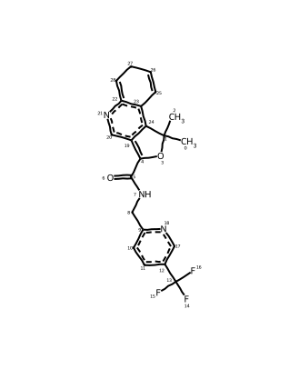 CC1(C)OC(C(=O)NCc2ccc(C(F)(F)F)cn2)=c2cnc3c(c21)C=CCC=3